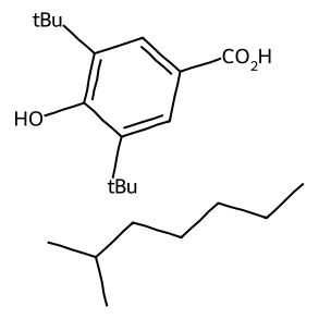 CC(C)(C)c1cc(C(=O)O)cc(C(C)(C)C)c1O.CCCCCC(C)C